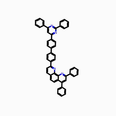 c1ccc(-c2cc(-c3ccc(-c4ccc(-c5ccc6ccc7c(-c8ccccc8)cc(-c8ccccc8)nc7c6n5)cc4)cc3)nc(-c3ccccc3)n2)cc1